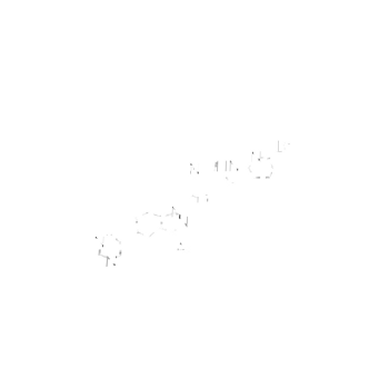 CC(=O)c1nn(CC(=O)N2C3CCC(CC3)[C@H]2C(=O)Nc2cccc(Br)n2)c2ccc(-c3cnc(C)nc3)cc12